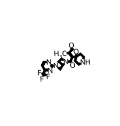 CC1=C(C(=O)N2CC3C2CN3c2nccc(C(F)(F)F)n2)C2(CCNCC2)OC1=O